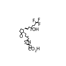 CC(O)(C/C=C/[C@H]1CCC(=O)[C@@H]1CCSc1nc(OC(=O)O)cs1)CCC(F)=C(F)F